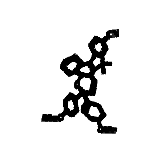 COC1=CC=C(C2(c3ccc(OC)cc3)C=Cc3c4c(c5ccccc5c3O2)-c2ccc(C#N)cc2C4(C)C)CC1